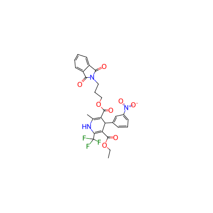 CCOC(=O)C1=C(C(F)(F)F)NC(C)=C(C(=O)OCCCN2C(=O)c3ccccc3C2=O)C1c1cccc([N+](=O)[O-])c1